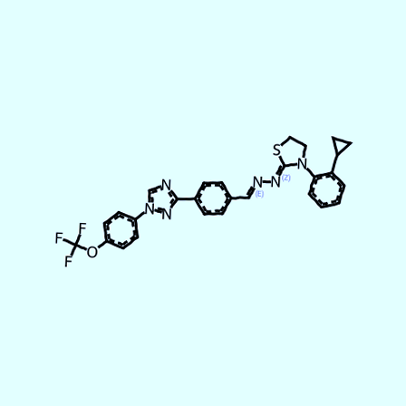 FC(F)(F)Oc1ccc(-n2cnc(-c3ccc(/C=N/N=C4\SCCN4c4ccccc4C4CC4)cc3)n2)cc1